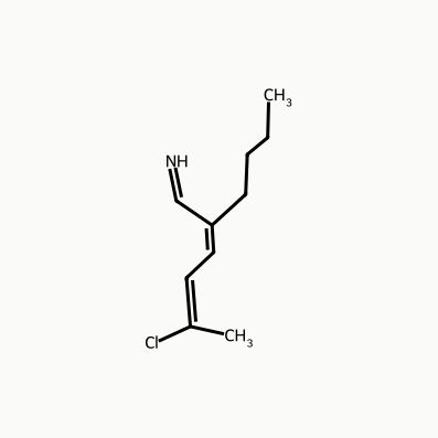 CCCC/C(C=N)=C/C=C(\C)Cl